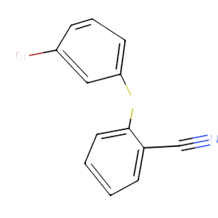 N#Cc1ccccc1Sc1cccc(Br)c1